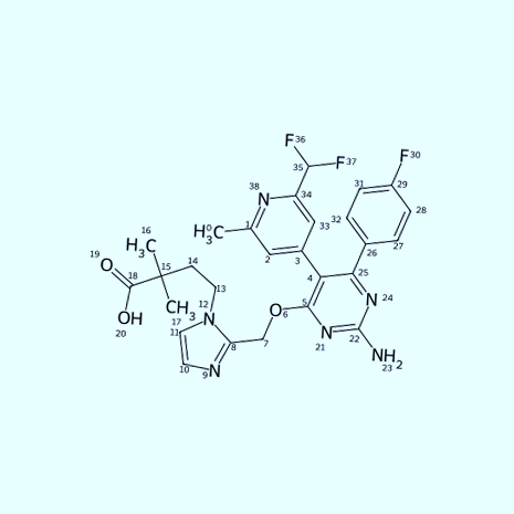 Cc1cc(-c2c(OCc3nccn3CCC(C)(C)C(=O)O)nc(N)nc2-c2ccc(F)cc2)cc(C(F)F)n1